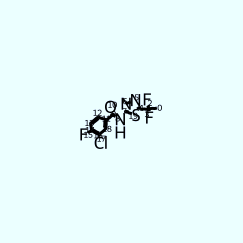 CC(F)(F)c1nnc(NC(=O)c2ccc(F)c(Cl)c2)s1